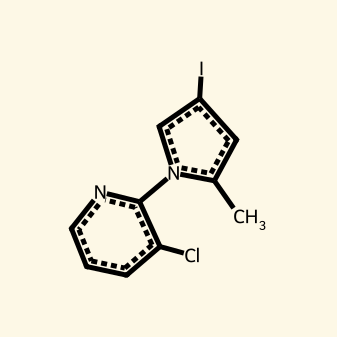 Cc1cc(I)cn1-c1ncccc1Cl